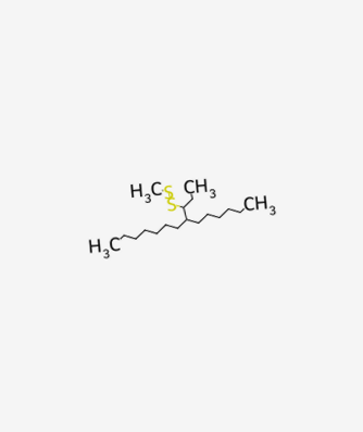 CCCCCCCC(CCCCCC)C(CC)SSC